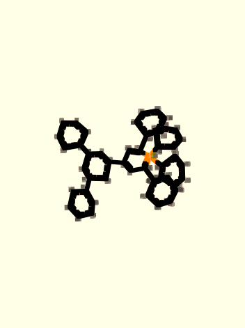 C1=C(c2cc(-c3ccccc3)cc(-c3ccccc3)c2)C=C(c2ccccc2)P(c2ccccc2)(c2ccccc2)=C1c1ccccc1